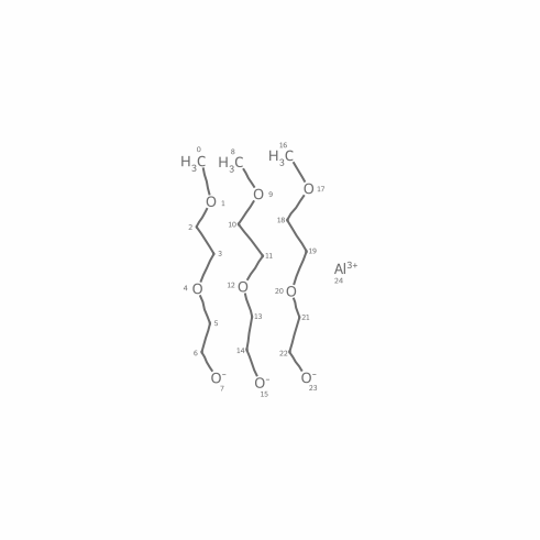 COCCOCC[O-].COCCOCC[O-].COCCOCC[O-].[Al+3]